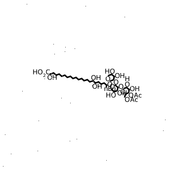 CCCCC(CCCC(O)C(O)CCCCCCCCCCCCCCC(O)C(=O)O)OC1OCC(O)C(O)C1OC1OCC(O)C(O)C1OC1OC(COC(C)=O)C(OC(C)=O)C(O)C1O